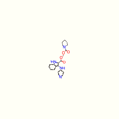 O=C(OCOC(=O)N1CCCCC1)c1[nH]c2ccccc2c1Nc1ccncc1